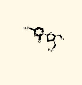 [3H]C[C@H]1O[C@@H](n2ccc(N)nc2=O)C[C@@H]1CC